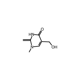 C=C1NC(=O)C(CO)=CN1C